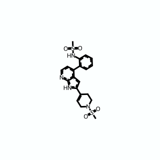 CS(=O)(=O)Nc1ccccc1-c1ccnc2[nH]c(C3=CCN(S(C)(=O)=O)CC3)cc12